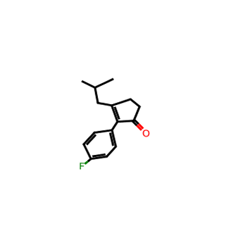 CC(C)CC1=C(c2ccc(F)cc2)C(=O)CC1